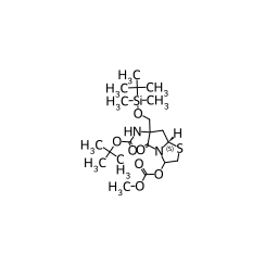 COC(=O)OC1CS[C@H]2CC(CO[Si](C)(C)C(C)(C)C)(NC(=O)OC(C)(C)C)C(=O)N12